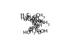 CC(C)C[C@H](NC(=O)[C@H](CC(C)C)NC(=O)[C@H](CC(N)=O)NC(=O)[C@H](Cc1ccc(O)cc1)NC(=O)[C@@H](N)CC(=O)O)C(=O)O